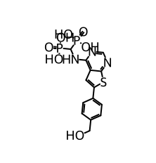 O=P(O)(O)C(Nc1ncnc2sc(-c3ccc(CO)cc3)cc12)P(=O)(O)O